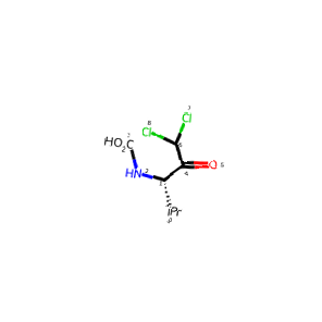 CC(C)[C@H](NC(=O)O)C(=O)C(Cl)Cl